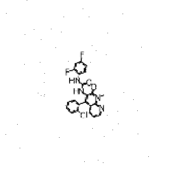 Cn1c(=O)c(NC(=O)Nc2ccc(F)cc2F)c(-c2ccccc2Cl)c2cccnc21